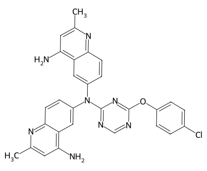 Cc1cc(N)c2cc(N(c3ccc4nc(C)cc(N)c4c3)c3ncnc(Oc4ccc(Cl)cc4)n3)ccc2n1